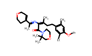 CCc1cc(CC/C(C)=C(/N=C(\C)C2=CCOCC2)C(=O)N2CCOCC2(C)C)c(C)cc1OC(C)C